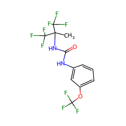 CC(NC(=O)Nc1cccc(OC(F)(F)F)c1)(C(F)(F)F)C(F)(F)F